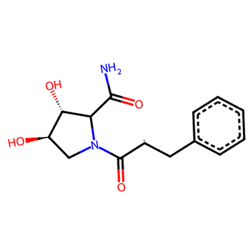 NC(=O)C1[C@@H](O)[C@H](O)CN1C(=O)[CH]Cc1ccccc1